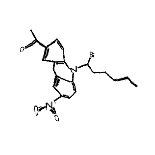 CCCCCC(Br)n1c2ccc(C(C)=O)cc2c2cc([N+](=O)[O-])ccc21